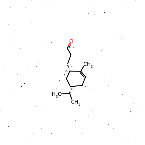 CC1=CC[C@H](C(C)C)C[C@@H]1CCC=O